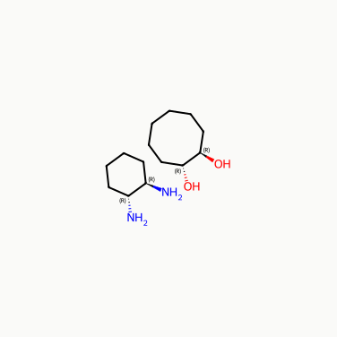 N[C@@H]1CCCC[C@H]1N.O[C@@H]1CCCCCC[C@H]1O